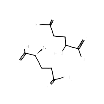 NC(=O)CC[C@H](N)C(=O)O.NC(CCC(=O)O)C(=O)O